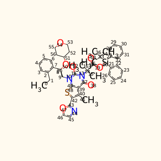 CCc1ccccc1[C@H](Cn1c(=O)n(C(C)(C)C(=O)O[Si](c2ccccc2)(c2ccccc2)C(C)(C)C)c(=O)c2c(C)c(-c3ncco3)sc21)OC1CCOCC1